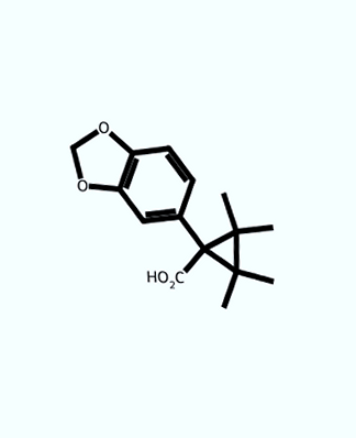 CC1(C)C(C)(C)C1(C(=O)O)c1ccc2c(c1)OCO2